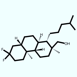 CC(C)CCC[C@H]1[C@@H]2CC[C@H]3CC(F)(F)CC[C@]3(C)[C@H]2CC[C@]1(C)CO